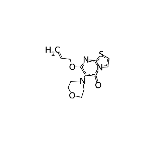 C=CCOc1nc2sccn2c(=O)c1N1CCOCC1